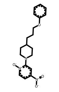 O=[N+]([O-])c1cc[n+]([O-])c(N2CCC(CCCOc3ccccc3)CC2)c1